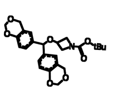 CC(C)(C)OC(=O)N1CC(OC(c2ccc3c(c2)COCO3)c2ccc3c(c2)COCO3)C1